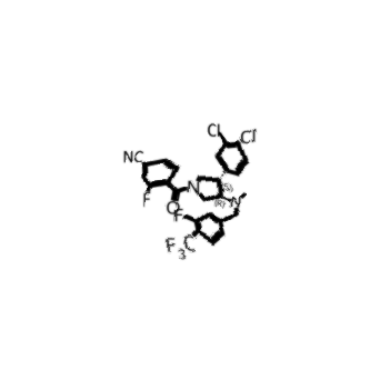 CN(Cc1ccc(C(F)(F)F)c(F)c1)[C@H]1CN(C(=O)c2ccc(C#N)cc2F)C[C@@H]1c1ccc(Cl)c(Cl)c1